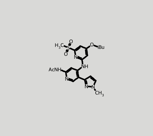 CCC(C)Oc1cc(Nc2cc(NC(C)=O)ncc2-c2ccn(C)n2)nc(S(C)(=O)=O)c1